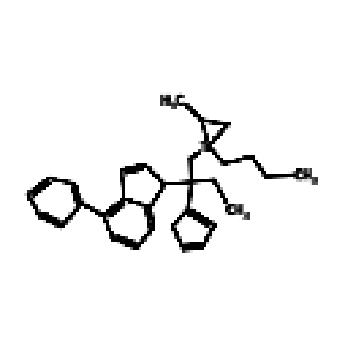 CCC[CH2][Ti]1([CH2]C(CC)(C2=CC=CC2)C2C=Cc3c(-c4ccccc4)cccc32)[CH2][CH]1C